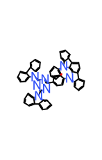 c1ccc(-n2c3ccccc3c3ccc4c5ccccc5n(-c5ccc(-c6nc(-n7c8ccccc8c8ccccc87)nc(-n7c8ccccc8c8ccccc87)n6)cc5)c4c32)cc1